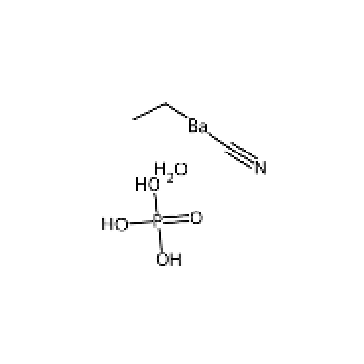 C[CH2][Ba][C]#N.O.O=P(O)(O)O